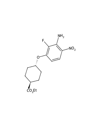 CCOC(=O)[C@H]1CC[C@H](Oc2ccc([N+](=O)[O-])c(N)c2F)CC1